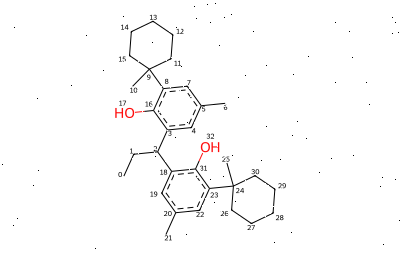 CCC(c1cc(C)cc(C2(C)CCCCC2)c1O)c1cc(C)cc(C2(C)CCCCC2)c1O